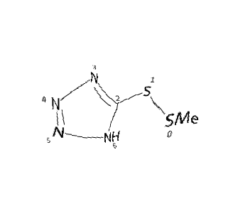 CSSc1nnn[nH]1